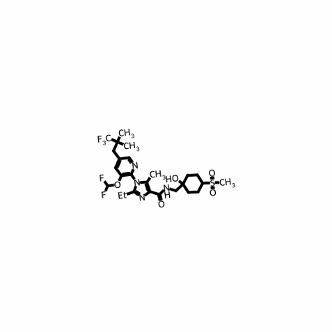 CCc1nc(C(=O)NCC2(O)CCC(S(C)(=O)=O)CC2)c(C)n1-c1ncc(CC(C)(C)C(F)(F)F)cc1OC(F)F